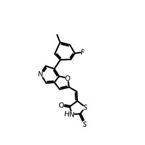 Cc1cc(F)cc(-c2cncc3cc(C=C4SC(=S)NC4=O)oc23)c1